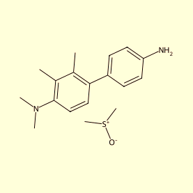 C[S+](C)[O-].Cc1c(-c2ccc(N)cc2)ccc(N(C)C)c1C